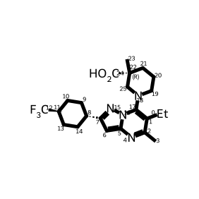 CCc1c(C)nc2cc([C@H]3CC[C@H](C(F)(F)F)CC3)nn2c1N1CCC[C@@](C)(C(=O)O)C1